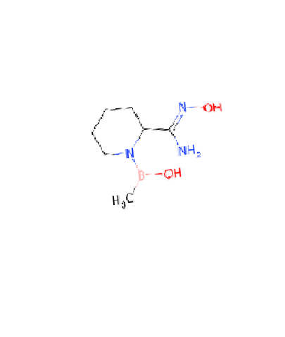 CB(O)N1CCCCC1/C(N)=N/O